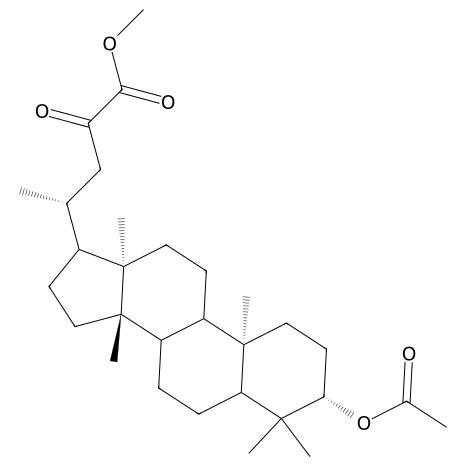 COC(=O)C(=O)C[C@@H](C)C1CC[C@@]2(C)C3CCC4C(C)(C)[C@@H](OC(C)=O)CC[C@]4(C)C3CC[C@]12C